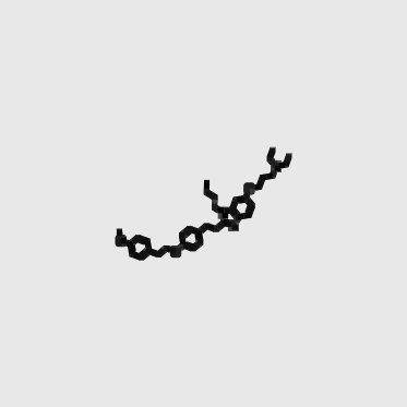 CCCCn1c(CCc2ccc(OCCc3ccc(OC)cc3)cc2)nc2ccc(OCCCN(CC)CC)cc21